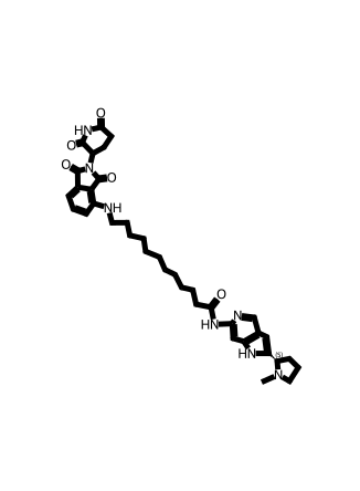 CN1CCC[C@H]1c1cc2cnc(NC(=O)CCCCCCCCCCCNc3cccc4c3C(=O)N(C3CCC(=O)NC3=O)C4=O)cc2[nH]1